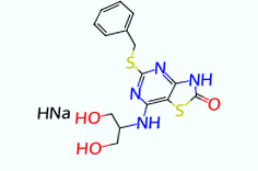 O=c1[nH]c2nc(SCc3ccccc3)nc(NC(CO)CO)c2s1.[NaH]